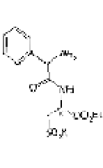 CCOC(=O)[C@H](CS(=O)(=O)O)NC(=O)C(N)c1ccccc1